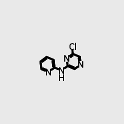 Clc1cncc(Nc2ccccn2)n1